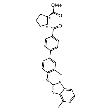 COC(=O)[C@@H]1CCC[C@H]1C(=O)c1ccc(-c2ccc(Nc3nc4c(C)cccc4s3)c(F)c2)cc1